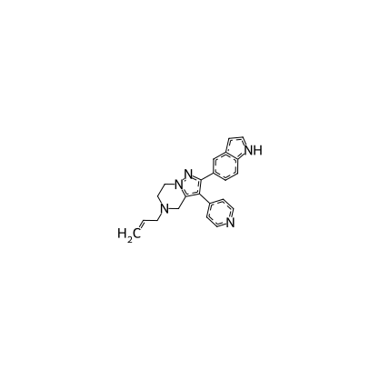 C=CCN1CCn2nc(-c3ccc4[nH]ccc4c3)c(-c3ccncc3)c2C1